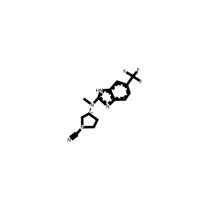 CN(c1nc2ccc(C(F)(F)F)cc2[nH]1)[C@@H]1CCN(C#N)C1